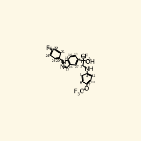 OC(CNc1ccc(OC(F)(F)F)cc1)(c1ccc2c(cnn2-c2ccc(F)cc2)c1)C(F)(F)F